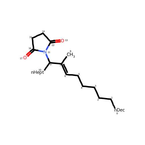 CCCCCCCCCCCCCCC/C=C(\C)C(CCCCCCC)N1C(=O)CCC1=O